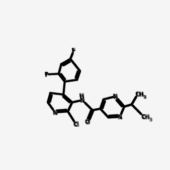 CC(C)c1ncc(C(=O)Nc2c(-c3ccc(F)cc3F)ccnc2Cl)cn1